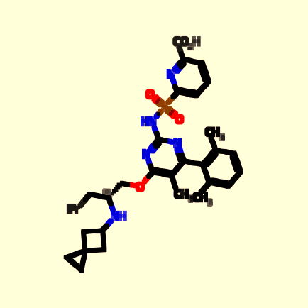 Cc1cccc(C)c1-c1nc(NS(=O)(=O)c2cccc(C(=O)O)n2)nc(OC[C@@H](CC(C)C)NC2CC3(CC3)C2)c1C